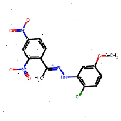 COc1ccc(Cl)c(N/N=C(\C)c2ccc([N+](=O)[O-])cc2[N+](=O)[O-])c1